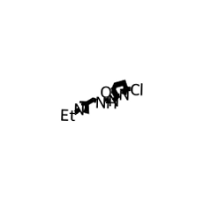 CCN1CC(CNc2nc3nc(Cl)ccc3o2)C1